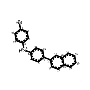 Brc1ccc(Nc2ccc(-c3ccc4ccccc4c3)cc2)cc1